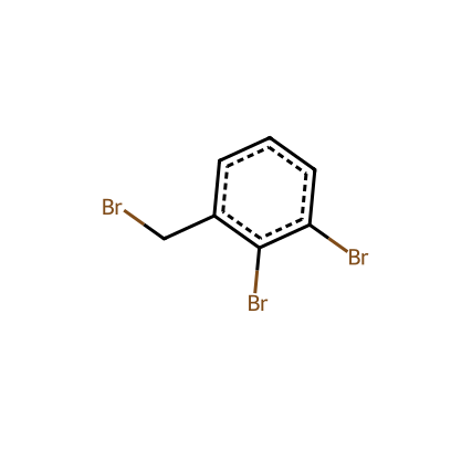 BrCc1cccc(Br)c1Br